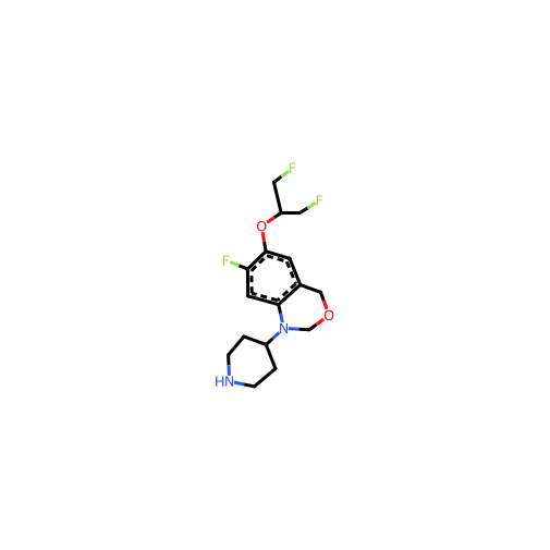 FCC(CF)Oc1cc2c(cc1F)N(C1CCNCC1)COC2